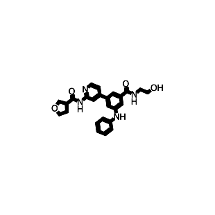 O=C(NCCO)c1cc(Nc2ccccc2)cc(-c2ccnc(NC(=O)C3CCOC3)c2)c1